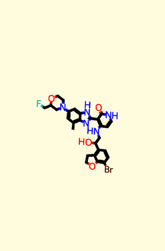 Cc1cc(N2CCOC(CF)C2)cc2[nH]c(-c3c(NCC(O)c4ccc(Br)c5c4CCO5)cc[nH]c3=O)nc12